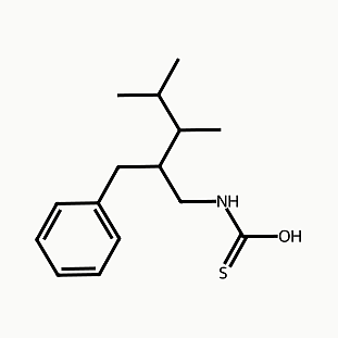 CC(C)C(C)C(CNC(O)=S)Cc1ccccc1